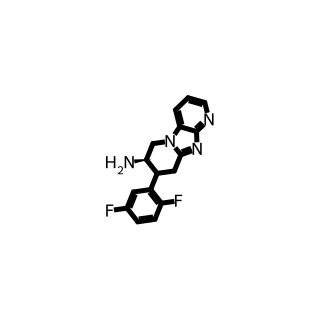 N[C@H]1Cn2c(nc3ncccc32)CC1c1cc(F)ccc1F